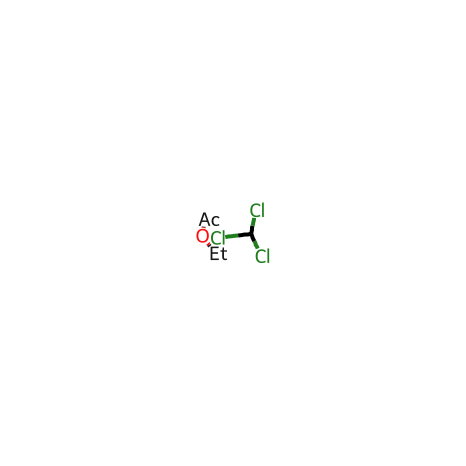 CCOC(C)=O.ClC(Cl)Cl